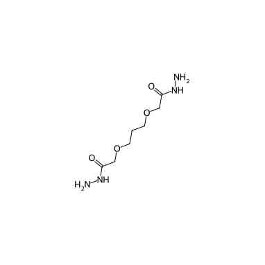 NNC(=O)COCCCOCC(=O)NN